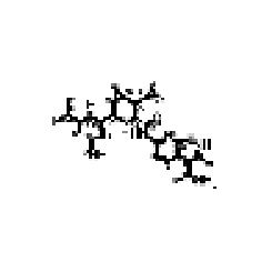 CC(=N)/C(=C(/C)N)c1ccc(NC(=O)[C@H]2NC(/C(=C/C=N)NC(C)C(F)F)=C3CC3C2C2CC2)nc1F